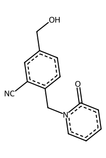 N#Cc1cc(CO)ccc1Cn1ccccc1=O